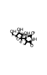 Cc1c(C2(F)O[C@@H](CO)[C@H](O)[C@H]2O)[nH]c(=O)[nH]c1=O